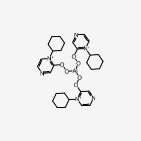 c1c[n+](C2CCCCC2)c(O[O][Al]([O]Oc2cncc[n+]2C2CCCCC2)[O]Oc2cncc[n+]2C2CCCCC2)cn1